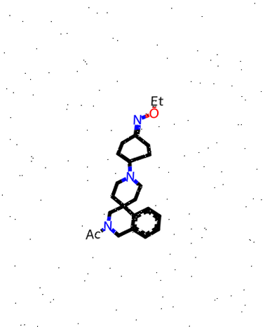 CCON=C1CCC(N2CCC3(CC2)CN(C(C)=O)Cc2ccccc23)CC1